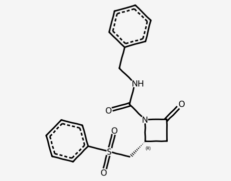 O=C1C[C@H](CS(=O)(=O)c2ccccc2)N1C(=O)NCc1ccccc1